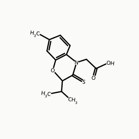 Cc1ccc2c(c1)OC(C(C)C)C(=S)N2CC(=O)O